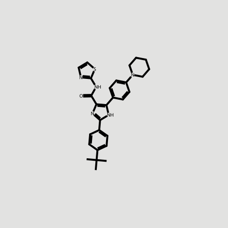 CC(C)(C)c1ccc(-c2nc(C(=O)Nc3nccs3)c(-c3ccc(N4CCCCC4)cc3)[nH]2)cc1